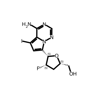 Nc1ncnn2c([C@@H]3O[C@H](CO)C[C@@H]3F)cc(I)c12